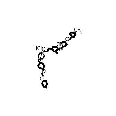 Cc1ccc(OCCOc2ccc(CN3CCN(C(=O)C=Cc4cc(C)c(Oc5ccc(OCc6ccc(C(F)(F)F)cc6)cn5)c(Cl)c4)CC3)cc2)cc1.Cl